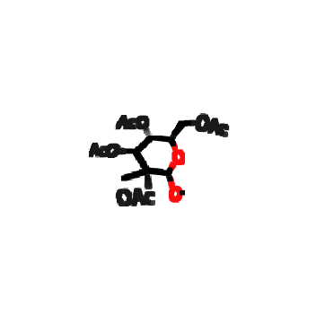 CC(=O)OC[C@H]1O[C@@H]([O])[C@@](C)(OC(C)=O)[C@@H](OC(C)=O)[C@@H]1OC(C)=O